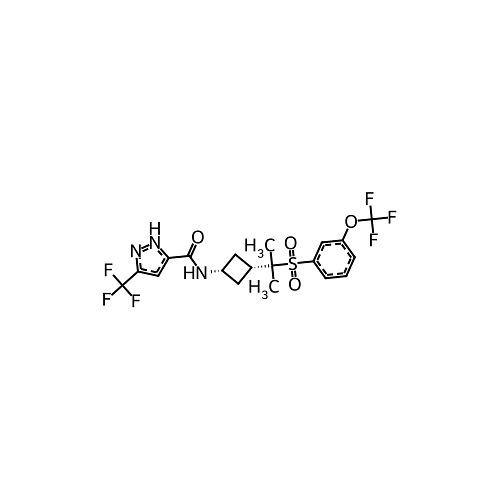 CC(C)([C@H]1C[C@@H](NC(=O)c2cc(C(F)(F)F)n[nH]2)C1)S(=O)(=O)c1cccc(OC(F)(F)F)c1